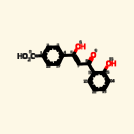 O=C(O)c1ccc(C(O)=CC(=O)c2ccccc2O)cc1